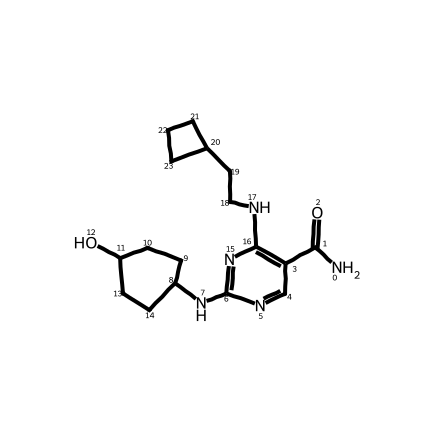 NC(=O)c1cnc(NC2CCC(O)CC2)nc1NCCC1CCC1